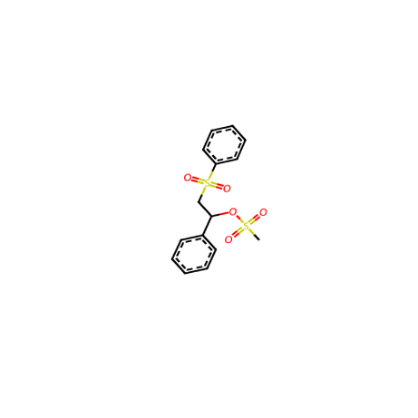 CS(=O)(=O)OC(CS(=O)(=O)c1ccccc1)c1ccccc1